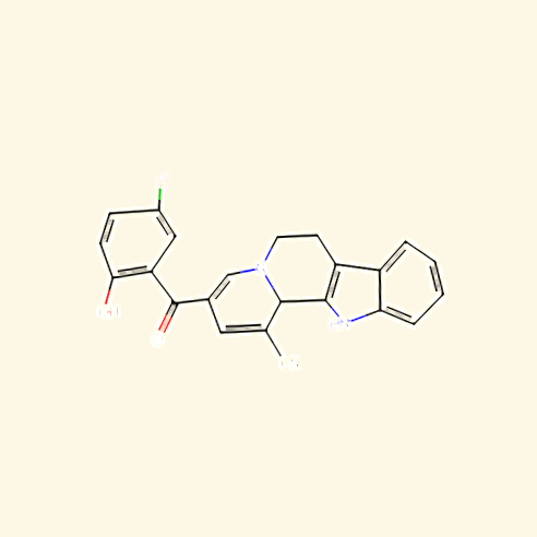 N#CC1=CC(C(=O)c2cc(Cl)ccc2O)=CN2CCc3c([nH]c4ccccc34)C12